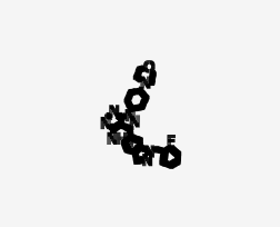 Nc1ncnc2c1c(-c1ccc3cnn(Cc4ccccc4F)c3c1)nn2[C@H]1CC[C@H](N2CCOCC2)CC1